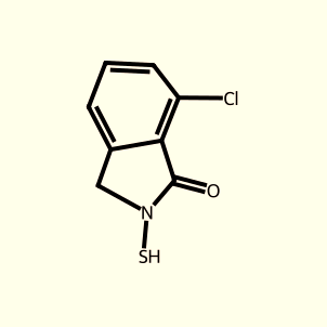 O=C1c2c(Cl)cccc2CN1S